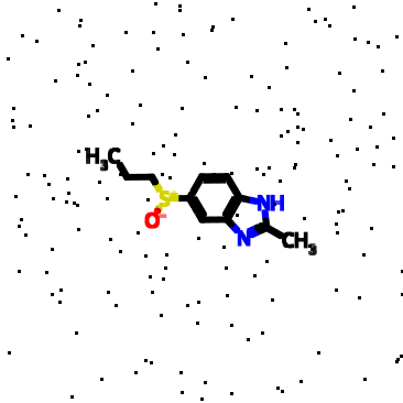 CCC[S+]([O-])c1ccc2[nH]c(C)nc2c1